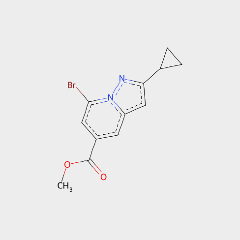 COC(=O)c1cc(Br)n2nc(C3CC3)cc2c1